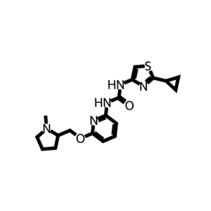 CN1CCCC1COc1cccc(NC(=O)Nc2csc(C3CC3)n2)n1